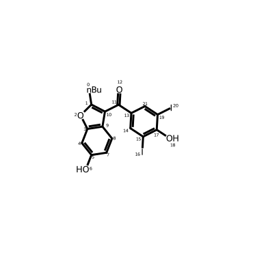 CCCCc1oc2cc(O)ccc2c1C(=O)c1cc(I)c(O)c(I)c1